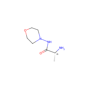 C[C@@H](N)C(=O)NN1CCOCC1